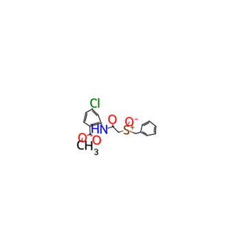 COC(=O)c1ccc(Cl)cc1NC(=O)C[S+]([O-])Cc1ccccc1